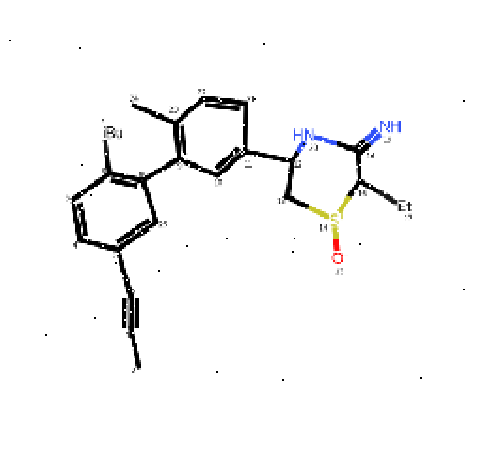 CC#Cc1ccc(C(C)CC)c(-c2cc(C3C[S+]([O-])C(CC)C(=N)N3)ccc2C)c1